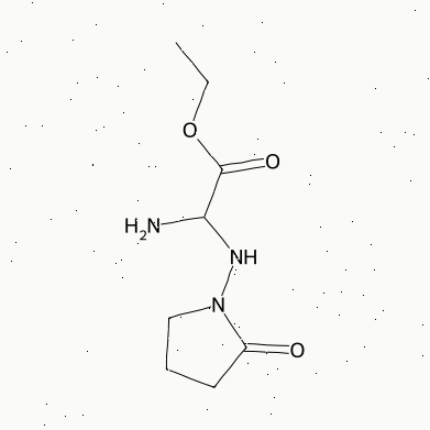 CCOC(=O)C(N)NN1CCCC1=O